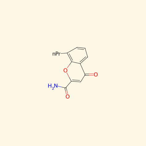 CCCc1cccc2c(=O)cc(C(N)=O)oc12